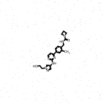 Cc1cc(-c2ccnc(Nc3cnn(CCO)c3)n2)ccc1CNC(=O)N1CCC1